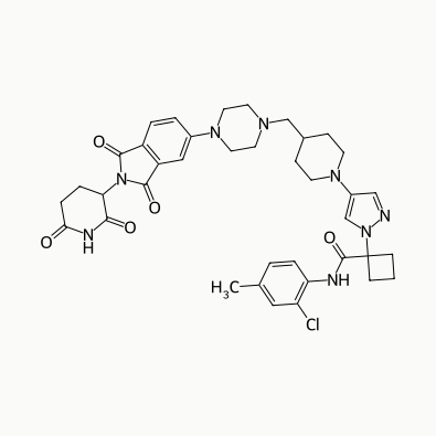 Cc1ccc(NC(=O)C2(n3cc(N4CCC(CN5CCN(c6ccc7c(c6)C(=O)N(C6CCC(=O)NC6=O)C7=O)CC5)CC4)cn3)CCC2)c(Cl)c1